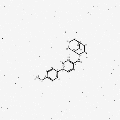 FC(F)(F)Oc1ccc(-c2ccc(OC3CCN4CCCC3C4)nn2)cc1